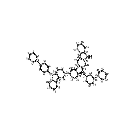 c1ccc(-c2ccc(-n3c4ccccc4c4cc(-c5ccc6c(c5)c5cc7c(cc5n6-c5cccc(-c6ccccc6)c5)[nH]c5ccccc57)ccc43)cc2)cc1